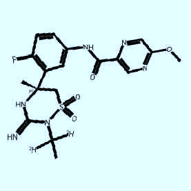 [2H]C([2H])(C)N1C(=N)N[C@](C)(c2cc(NC(=O)c3cnc(OC)cn3)ccc2F)CS1(=O)=O